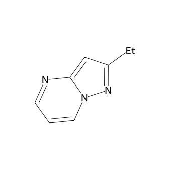 CCc1cc2ncccn2n1